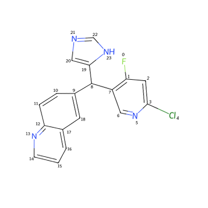 Fc1cc(Cl)ncc1C(c1ccc2ncccc2c1)c1cnc[nH]1